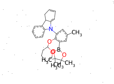 Cc1cc(B2OC(C)(C)C(C)(C)O2)c(OC2CCCCO2)c(N2C3=CC=CCC3c3ccccc32)c1